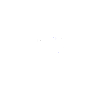 Cc1nccnc1C=O